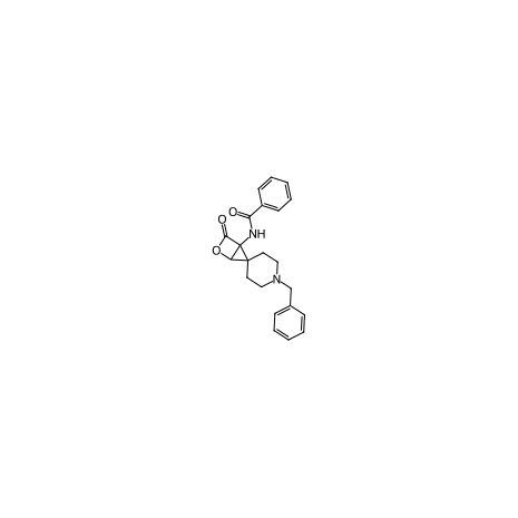 O=C(NC12C(=O)OC1C21CCN(Cc2ccccc2)CC1)c1ccccc1